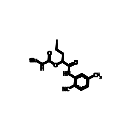 CC(C)(C)NC(=O)OC(CCI)C(=O)Nc1cc(C(F)(F)F)ccc1C#N